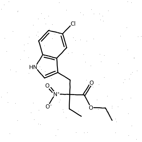 CCOC(=O)C(CC)(Cc1c[nH]c2ccc(Cl)cc12)[N+](=O)[O-]